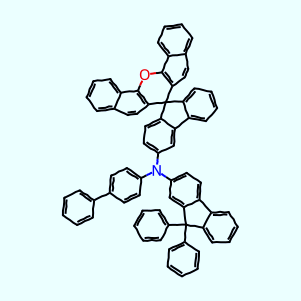 c1ccc(-c2ccc(N(c3ccc4c(c3)-c3ccccc3C43c4ccc5ccccc5c4Oc4c3ccc3ccccc43)c3ccc4c(c3)C(c3ccccc3)(c3ccccc3)c3ccccc3-4)cc2)cc1